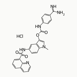 Cl.Cn1cc(OC(=O)Nc2ccc(C(=N)N)cc2)c2cc(NS(=O)(=O)c3cccc4cccnc34)ccc21